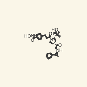 O=C(NO)c1ccc(CCC(=O)N2CCN(C(=O)CNC3CC3c3ccccc3)CC2)cc1.O=C(O)C(F)(F)F